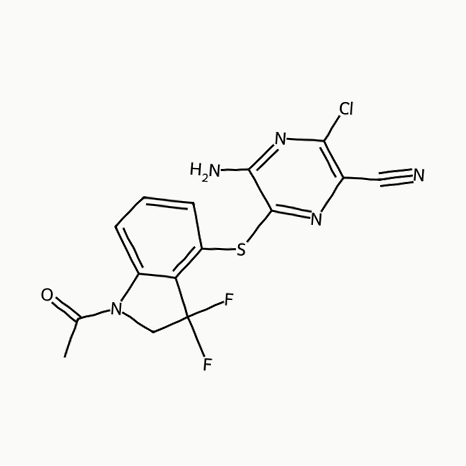 CC(=O)N1CC(F)(F)c2c(Sc3nc(C#N)c(Cl)nc3N)cccc21